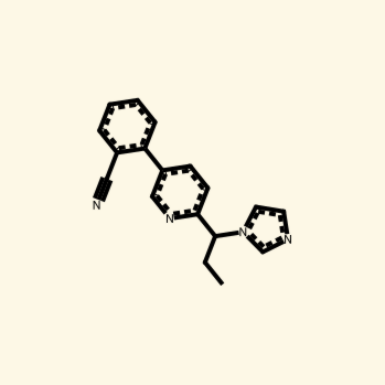 CCC(c1ccc(-c2ccccc2C#N)cn1)n1ccnc1